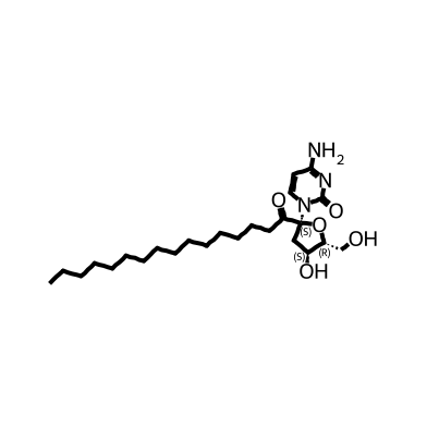 CCCCCCCCCCCCCCCC(=O)[C@]1(n2ccc(N)nc2=O)C[C@H](O)[C@@H](CO)O1